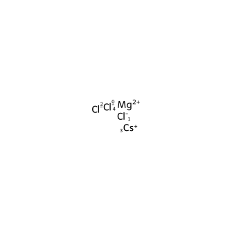 [Cl-].[Cl-].[Cl-].[Cs+].[Mg+2]